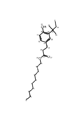 CCCCCCCCCCOC(=O)CCc1ccc(O)c(C(C)(C)CC)c1